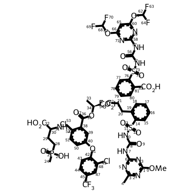 COc1nc(C)nc(NC(=O)NS(=O)(=O)c2ccccc2CCC(F)(F)F)n1.CP(=O)(O)CCC(N)C(=O)O.C[C@H](OC(=O)c1cc(Oc2ccc(C(F)(F)F)cc2Cl)ccc1Cl)C(=O)O.O=C(Nc1nc(OC(F)F)cc(OC(F)F)n1)NS(=O)(=O)c1ccccc1C(=O)O